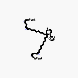 CCCCC/C=C\C/C=C\CCCCCCCCC1(CCCCCCCC/C=C\C/C=C\CCCCC)CN(C)CCN1C1OCCO1